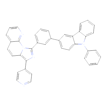 c1ccc(-n2c3ccccc3c3cc(-c4cccc(-c5nc(-c6ccncc6)c6ccc7cccnc7n56)c4)ccc32)cc1